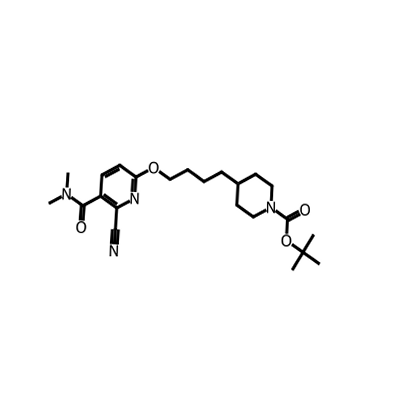 CN(C)C(=O)c1ccc(OCCCCC2CCN(C(=O)OC(C)(C)C)CC2)nc1C#N